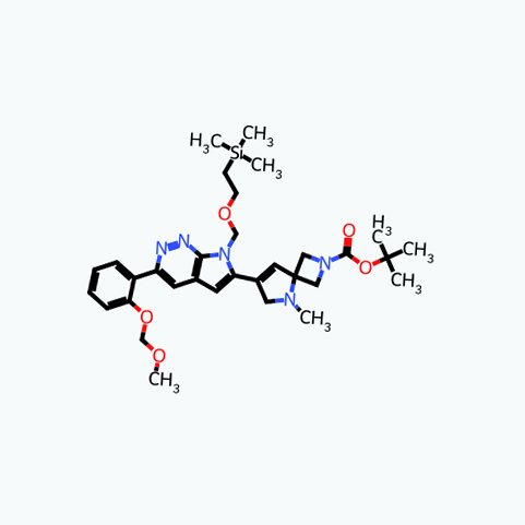 COCOc1ccccc1-c1cc2cc(C3=CC4(CN(C(=O)OC(C)(C)C)C4)N(C)C3)n(COCC[Si](C)(C)C)c2nn1